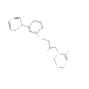 CC1=NCNCN1CC(O)COc1cccc(C2C=CC=CC2)c1